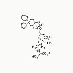 CC(C)(CNC(C(=O)O)C(=O)O)CN(CC(=O)O)CC([CH]C(=O)O)COP(=O)(O)OC1CCC(c2ccccc2)(c2ccccc2)CC1